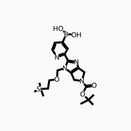 CC(C)(C)OC(=O)N1Cc2nc(-c3cc(B(O)O)ccn3)n(COCC[Si](C)(C)C)c2C1